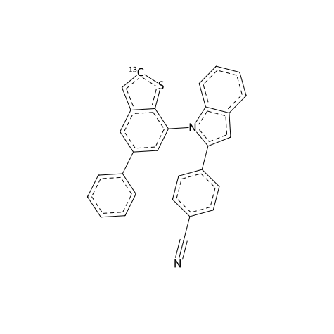 N#Cc1ccc(-c2cc3ccccc3n2-c2cc(-c3ccccc3)cc3c[13cH]sc23)cc1